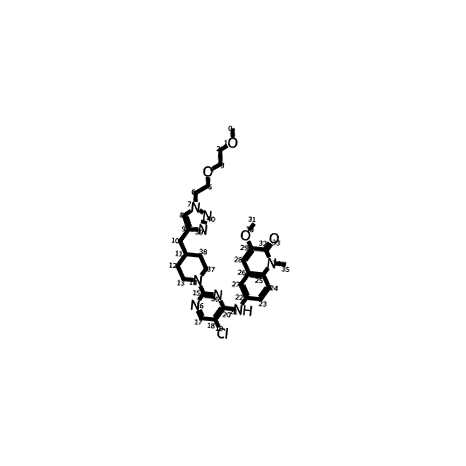 COCCOCCn1cc(CC2CCN(c3ncc(Cl)c(Nc4ccc5c(c4)cc(OC)c(=O)n5C)n3)CC2)nn1